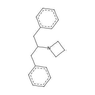 [CH]1CN(C(Cc2ccccc2)Cc2ccccc2)C1